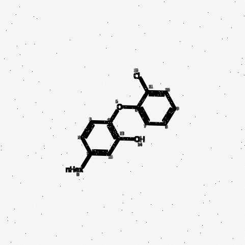 CCCCCCc1ccc(Oc2ccccc2Cl)c(O)c1